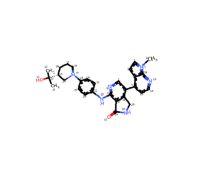 Cn1ccc2c(-c3cnc(Nc4ccc(N5CCC[C@@H](C(C)(C)O)C5)cc4)c4c3CNC4=O)ccnc21